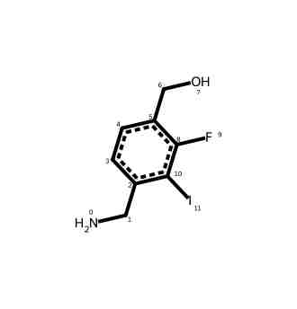 NCc1ccc(CO)c(F)c1I